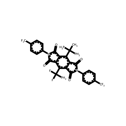 CC(P)(P)c1c2c(=O)n(-c3ccc(C(F)(F)F)cc3)c(=O)c2c(C(F)(F)P)c2c(=O)n(-c3ccc(C(F)(F)F)cc3)c(=O)c12